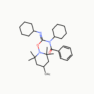 CC(=O)OC1CC(C)(C)N(O/C(=N\C2CCCCC2)N(C(=O)c2ccccc2)C2CCCCC2)C(C)(C)C1